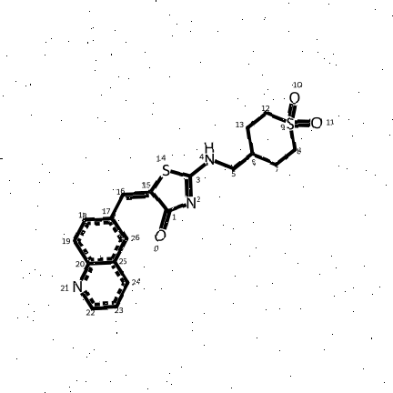 O=C1N=C(NCC2CCS(=O)(=O)CC2)SC1=Cc1ccc2ncccc2c1